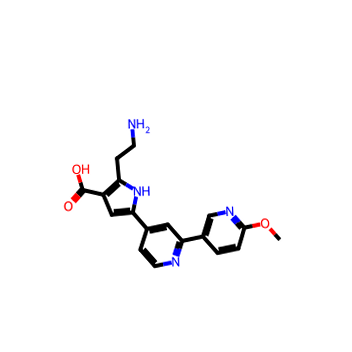 COc1ccc(-c2cc(-c3cc(C(=O)O)c(CCN)[nH]3)ccn2)cn1